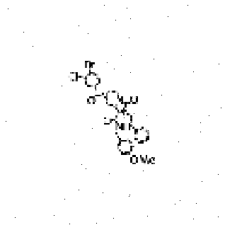 COc1ccc(CNC(=O)c2c3n(c(=O)n2CCc2ccccc2)CCN(C(=O)c2ccc(Br)c(Cl)c2)C3)cc1